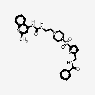 Cc1cc(NC(=O)NCCN2CCN(S(=O)(=O)c3ccc(CNC(=O)c4ccccc4)s3)CC2)c2ccccc2n1